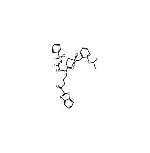 CC(=NS(=O)(=O)c1ccccc1)NN(CCCC(=O)c1nc2ccccc2o1)C(=O)CCS(=O)(=O)Cc1ccccc1OC(F)F